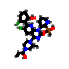 C=CC(=O)N1CCN(c2nc(=O)n(-c3cccnc3S(C)(=O)=O)c3nc(-c4c(O)cccc4F)c(F)cc23)[C@@H](C)C1